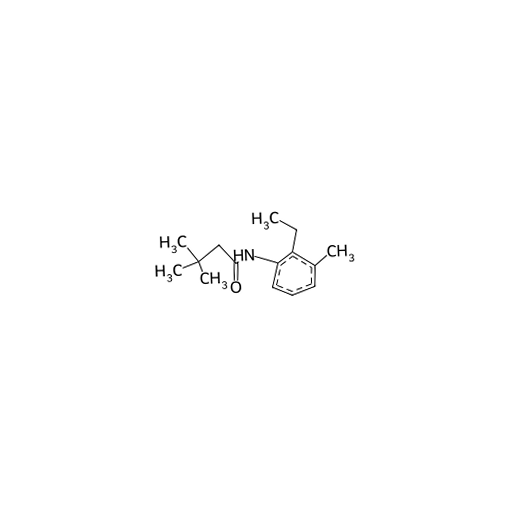 CCc1c(C)cccc1NC(=O)CC(C)(C)C